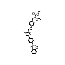 CCOC(=O)[C@H](Cc1ccc(OCc2sc(-c3ccc(C4=Nc5ccccc5OC4)cc3)cc2C)cc1)OCC